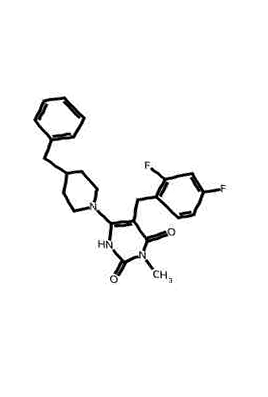 Cn1c(=O)[nH]c(N2CCC(Cc3ccccc3)CC2)c(Cc2ccc(F)cc2F)c1=O